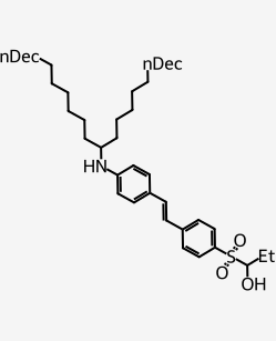 CCCCCCCCCCCCCCCCC(CCCCCCCCCCCCCCC)Nc1ccc(C=Cc2ccc(S(=O)(=O)C(O)CC)cc2)cc1